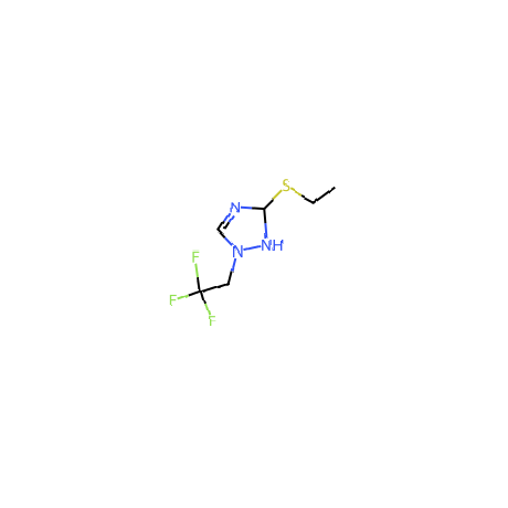 CCSC1N=CN(CC(F)(F)F)N1